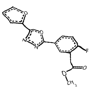 COC(=O)c1cc(-c2nnc(-c3ccco3)o2)ccc1F